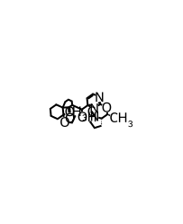 C[C@H](Oc1nccc(C(O)C2CCCC3(CCCCC34OCCO4)C2=O)n1)[C@@H]1CCCN1C